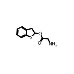 NCC(=O)OC1Cc2ccccc2S1